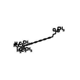 COC(=O)CCCC#CC#CC#CC#CC#CC#C[Si](C(C)C)(C(C)C)C(C)C